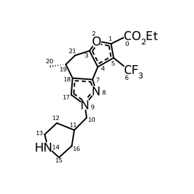 CCOC(=O)c1oc2c(c1C(F)(F)F)-c1nn(CC3CCNCC3)cc1[C@H](C)C2